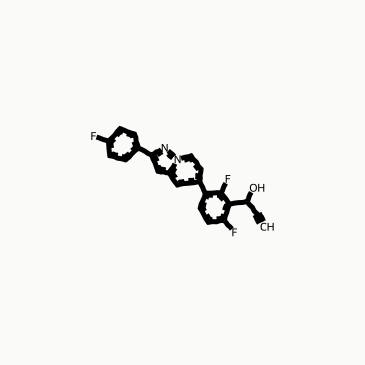 C#CC(O)c1c(F)ccc(-c2ccn3nc(-c4ccc(F)cc4)cc3c2)c1F